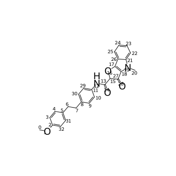 COc1ccc(CCc2ccc(NC(=O)C3Oc4c(n(C)c5ccccc45)C3=O)cc2)cc1